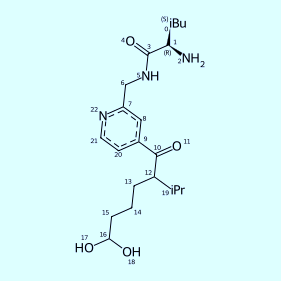 CC[C@H](C)[C@@H](N)C(=O)NCc1cc(C(=O)C(CCCC(O)O)C(C)C)ccn1